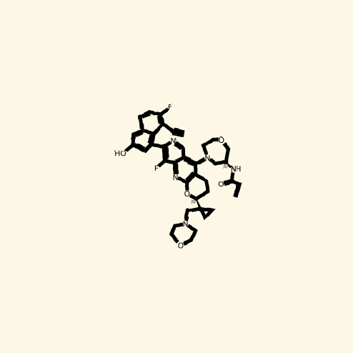 C#Cc1c(F)ccc2cc(O)cc(-c3ncc4c(N5CCOC[C@@H](NC(=O)C=C)C5)c5c(nc4c3F)O[C@H](C3(CN4CCOCC4)CC3)CC5)c12